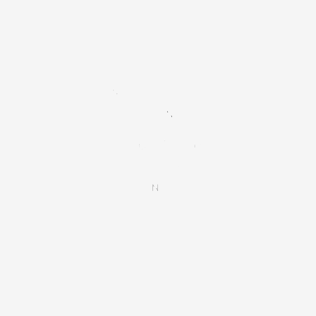 O=S(=O)(N=C=S)c1ccccn1